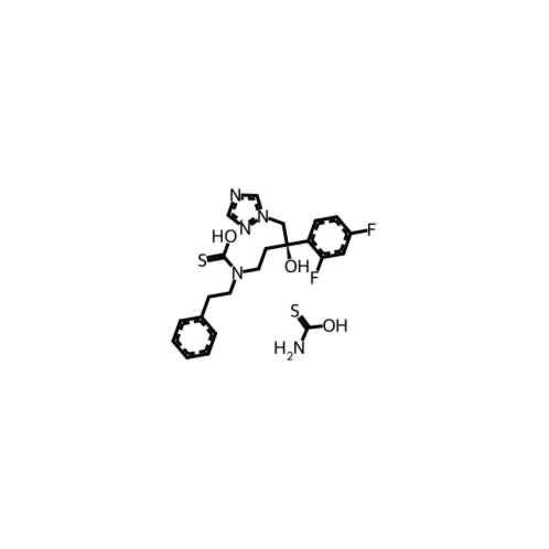 NC(O)=S.OC(=S)N(CCc1ccccc1)CC[C@](O)(Cn1cncn1)c1ccc(F)cc1F